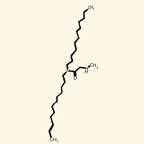 CCCCCCCCCCCCN(CCCCCCCCCCCC)C(=O)CNC